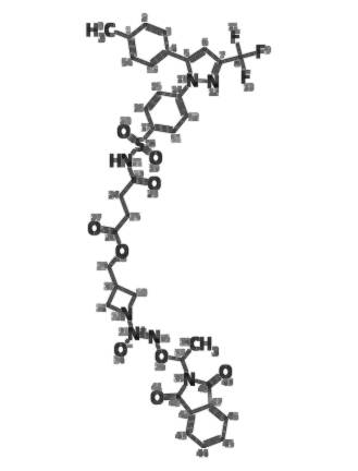 Cc1ccc(-c2cc(C(F)(F)F)nn2-c2ccc(S(=O)(=O)NC(=O)CCC(=O)OCC3CN(/[N+]([O-])=N/OC(C)N4C(=O)c5ccccc5C4=O)C3)cc2)cc1